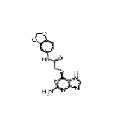 Nc1nc(SCC(=O)Nc2ccc3c(c2)OCO3)c2[nH]cnc2n1